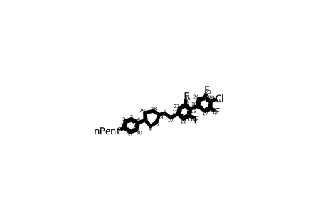 CCCCCc1ccc(C2CCC(CCc3cc(F)c(-c4cc(F)c(Cl)c(F)c4)c(F)c3)CC2)cc1